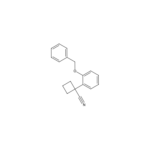 N#CC1(c2ccccc2OCc2ccccc2)CCC1